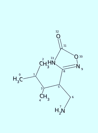 CC(C)C(C)C(CN)c1noc(=O)[nH]1